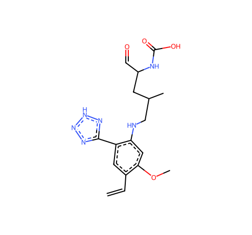 C=Cc1cc(-c2nn[nH]n2)c(NCC(C)CC(C=O)NC(=O)O)cc1OC